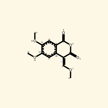 CO/C=C1\C(=O)OC(=O)c2cc(OC)c(OC)cc21